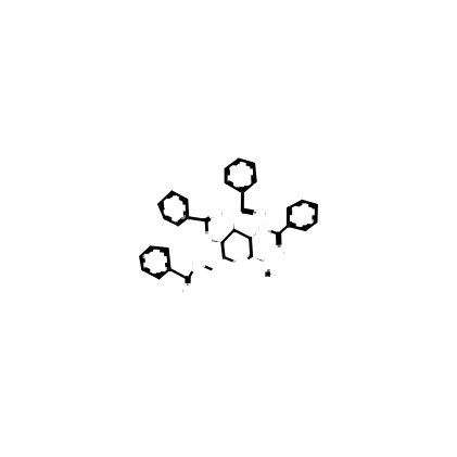 O=C(OC[C@H]1O[C@H](OBr)[C@H](OC(=O)c2ccccc2)[C@@H](OC(=O)c2ccccc2)[C@@H]1OC(=O)c1ccccc1)c1ccccc1